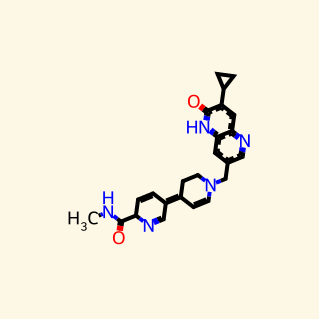 CNC(=O)C1C=CC(=C2C=CN(Cc3cnc4cc(C5CC5)c(=O)[nH]c4c3)CC2)C=N1